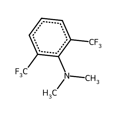 CN(C)c1c(C(F)(F)F)cccc1C(F)(F)F